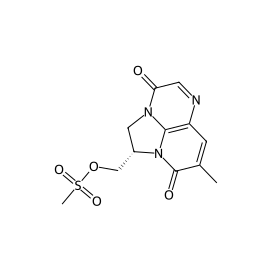 Cc1cc2ncc(=O)n3c2n(c1=O)[C@H](COS(C)(=O)=O)C3